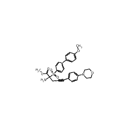 COC(=O)C(N)(CC#Cc1ccc(N2CCOCC2)cc1)S(=O)(=O)c1ccc(-c2ccc(OC)cc2)cc1